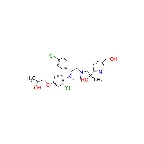 C[C@H](O)COc1ccc(N2CCN(C[C@@](C)(O)c3ccc(CO)cn3)C[C@H]2c2ccc(Cl)cc2)c(Cl)c1